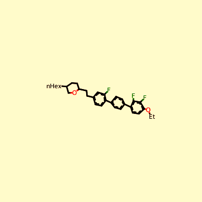 CCCCCCC1CCC(CCc2ccc(-c3ccc(-c4ccc(OCC)c(F)c4F)cc3)c(F)c2)OC1